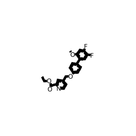 CCOC(=O)c1cc(COc2ccc(-c3cc(F)c(F)cc3OC)cc2)ccn1